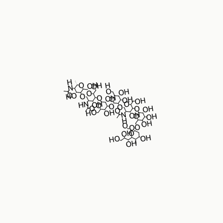 CC(=O)NC1[C@H](OC2C(O)[C@H](O)C(CO)O[C@@H]2O[C@@H]2C(O)[C@H](O[C@@H]3C(CO)O[C@@H](O[C@@H]4C(CO)O[C@@H](C)C(NC(C)=O)[C@H]4O)C(NC(C)=O)[C@H]3O)OC(CO)[C@H]2O)OC(CO)[C@@H](O[C@@H]2OC(CO[C@]3(OC=O)C[C@@H](O)[C@@H](C)C([C@H](O)[C@H](O)CO)O3)[C@H](O)[C@H](O)C2O)[C@@H]1O